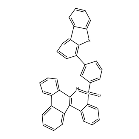 O=S1(c2cccc(-c3cccc4c3sc3ccccc34)c2)=Nc2c(c3ccccc3c3ccccc23)-c2ccccc21